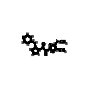 CCc1nc(NC(=O)c2cccn2Cc2ccncc2)sc1C